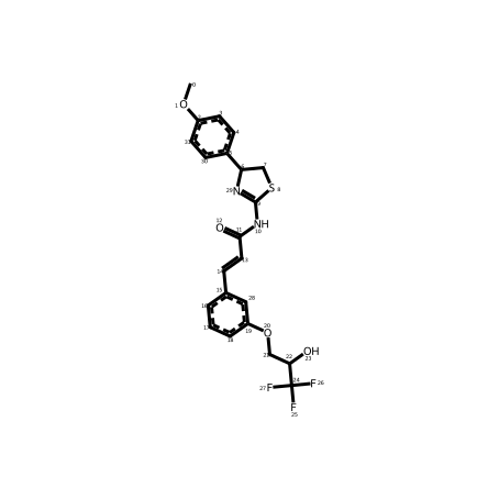 COc1ccc(C2CSC(NC(=O)/C=C/c3cccc(OCC(O)C(F)(F)F)c3)=N2)cc1